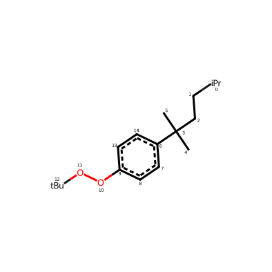 CC(C)CCC(C)(C)c1ccc(OOC(C)(C)C)cc1